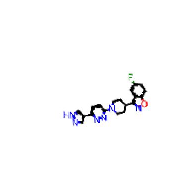 Fc1ccc2onc(C3CCN(c4ccc(-c5cn[nH]c5)nn4)CC3)c2c1